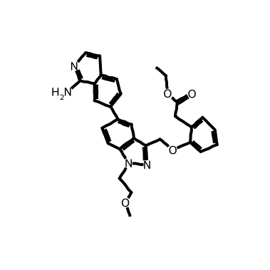 CCOC(=O)Cc1ccccc1OCc1nn(CCOC)c2ccc(-c3ccc4ccnc(N)c4c3)cc12